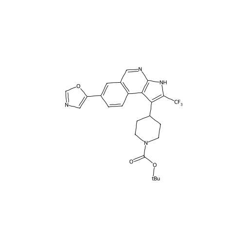 CC(C)(C)OC(=O)N1CCC(c2c(C(F)(F)F)[nH]c3ncc4cc(-c5cnco5)ccc4c23)CC1